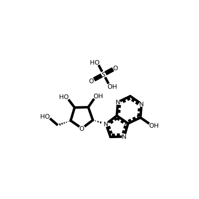 O=S(=O)(O)O.OC[C@H]1O[C@@H](n2cnc3c(O)ncnc32)C(O)C1O